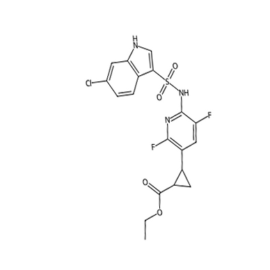 CCOC(=O)C1CC1c1cc(F)c(NS(=O)(=O)c2c[nH]c3cc(Cl)ccc23)nc1F